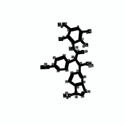 CCc1c(N)cc(Cl)c(CC)c1NC(=O)N(c1ccc(NC)cc1)C(C)c1ccc2c(c1)ncn2C